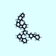 c1ccc2c(c1)cc1oc3ccc4sc5c(-c6cc(-c7cccc8oc9ccccc9c78)nc(-c7ccc8c(c7)oc7ccccc78)n6)ccc6sc2c1c3c4c65